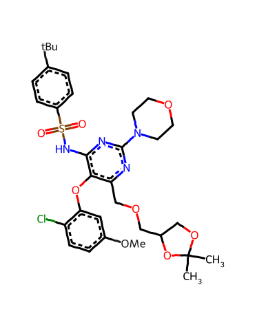 COc1ccc(Cl)c(Oc2c(COCC3COC(C)(C)O3)nc(N3CCOCC3)nc2NS(=O)(=O)c2ccc(C(C)(C)C)cc2)c1